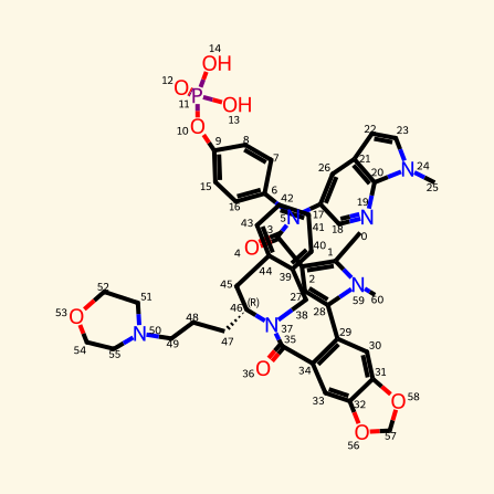 Cc1c(C(=O)N(c2ccc(OP(=O)(O)O)cc2)c2cnc3c(ccn3C)c2)cc(-c2cc3c(cc2C(=O)N2Cc4ccccc4C[C@H]2CCCN2CCOCC2)OCO3)n1C